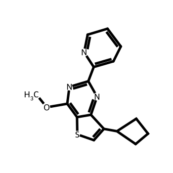 COc1nc(-c2ccccn2)nc2c(C3CCC3)csc12